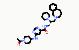 CC(=O)N1CCC(Nc2cc(C(=O)NC[C@@H](CN3CCCc4ccccc4C3)N3CCCCC3)ncn2)CC1